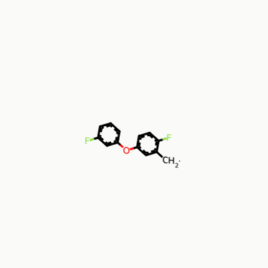 [CH2]c1cc(Oc2cccc(F)c2)ccc1F